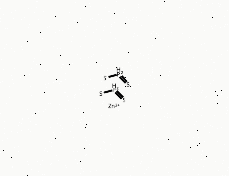 S=[PH2][S-].S=[PH2][S-].[Zn+2]